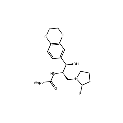 CCCCCCCC(=O)N[C@H](CN1CCCC1F)[C@H](O)c1ccc2c(c1)OCCO2